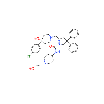 O=C(NCC(CCCN1CCC(O)(c2ccc(Cl)cc2)CC1)(c1ccccc1)c1ccccc1)NC1CCN(CCO)CC1